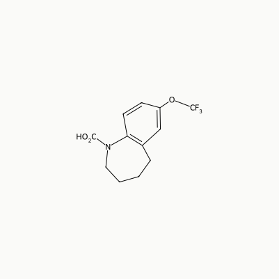 O=C(O)N1CCCCc2cc(OC(F)(F)F)ccc21